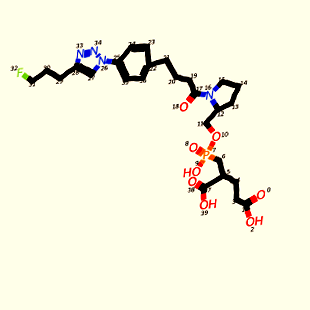 O=C(O)CCC(CP(=O)(O)OCC1CCCN1C(=O)CCCc1ccc(-n2cc(CCCF)nn2)cc1)C(=O)O